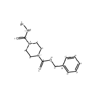 CC(C)NC(=O)N1CCN(C(=O)OCc2ccccc2)CC1